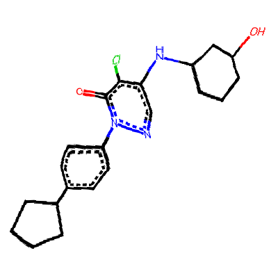 O=c1c(Cl)c(NC2CCCC(O)C2)cnn1-c1ccc(C2CCCC2)cc1